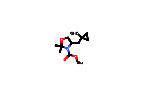 CC(C)(C)OC(=O)N1C(CC2(C=O)CC2)COC1(C)C